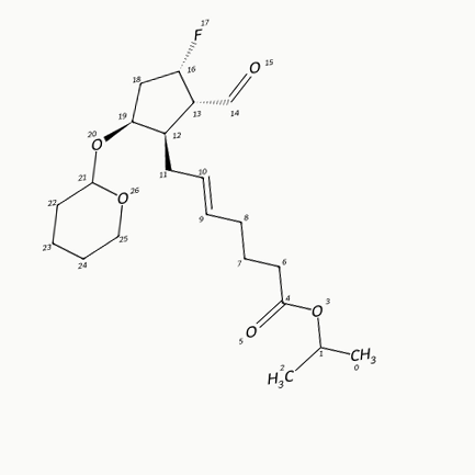 CC(C)OC(=O)CCCC=CC[C@@H]1[C@@H](C=O)[C@@H](F)C[C@@H]1OC1CCCCO1